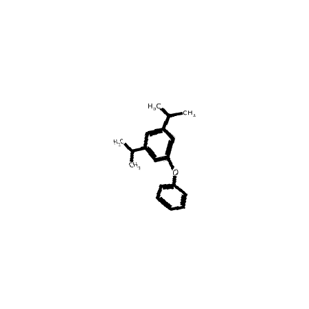 CC(C)c1cc(Oc2ccccc2)cc(C(C)C)c1